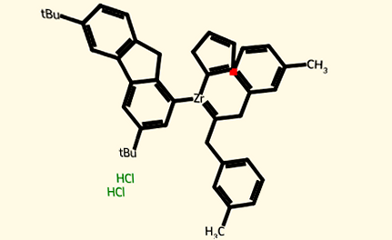 Cc1cccc(C[C](Cc2cccc(C)c2)=[Zr]([C]2=CC=CC2)[c]2cc(C(C)(C)C)cc3c2Cc2ccc(C(C)(C)C)cc2-3)c1.Cl.Cl